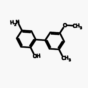 COc1cc(C)cc(-c2cc(N)ccc2O)c1